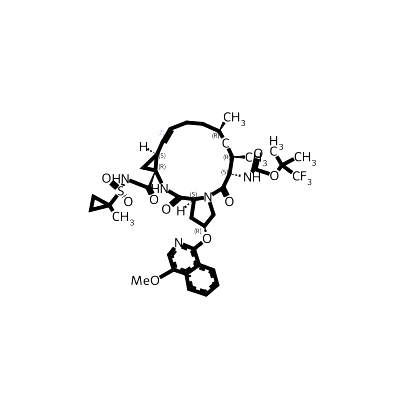 COc1cnc(O[C@@H]2C[C@H]3C(=O)N[C@]4(C(=O)NS(=O)(=O)C5(C)CC5)C[C@H]4/C=C\CC[C@@H](C)C[C@@H](C)[C@H](NC(=O)OC(C)(C)C(F)(F)F)C(=O)N3C2)c2ccccc12